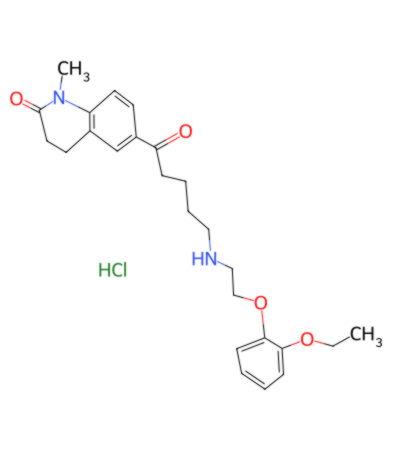 CCOc1ccccc1OCCNCCCCC(=O)c1ccc2c(c1)CCC(=O)N2C.Cl